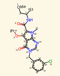 CCC(COC)NC(=O)c1c(OC(C)C)c2c(=O)n(Cc3cccc(Cl)c3)cnc2n1C